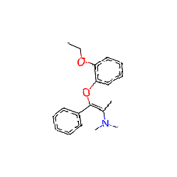 CCOc1ccccc1OC(=C(C)N(C)C)c1ccccc1